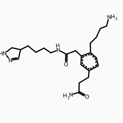 NCCCCc1ccc(CCC(N)=O)cc1CC(=O)NCCCCC1C=NNC1